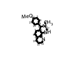 COc1ccc(C2c3ccc4cccnc4c3NSN2C)cc1